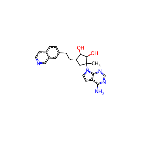 C[C@@]1(n2ccc3c(N)ncnc32)C[C@H](CCc2ccc3ccncc3c2)[C@@H](O)[C@H]1O